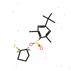 Cc1cc(C(C)(C)C)cc(C)c1S(=O)O[C@@H]1CCC[C@H]1F